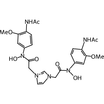 COc1cc(N(O)C(=O)Cn2cc[n+](CC(=O)N(O)c3ccc(NC(C)=O)c(OC)c3)c2)ccc1NC(C)=O